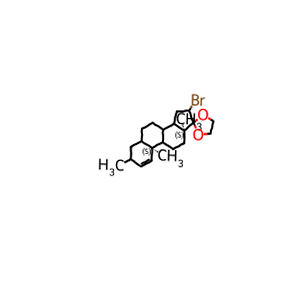 CC1C=C[C@@]2(C)C(CCC3C2CC[C@@]2(C)C3CC(Br)C23OCCO3)C1